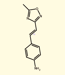 Cc1nc(/C=C/c2ccc(N)cc2)no1